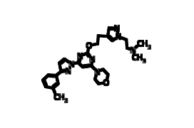 Cc1cccc(-c2ccn(-c3cc(N4CCOCC4)nc(OCCc4cnn(CCN(C)C)c4)n3)n2)c1